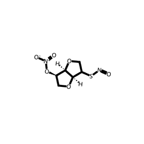 O=NSC1CO[C@H]2[C@@H]1OC[C@H]2O[N+](=O)[O-]